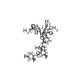 BC(B)(C/C=C/C(=O)N(C)C)C(C)C(=O)Nc1cccn(Cc2cc3cc(F)cc(OCc4ccc(F)cc4F)c3[nH]2)c1=O